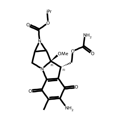 CO[C@]12C3C(CN1C1=C(C(=O)C(N)=C(C)C1=O)[C@H]2COC(N)=O)N3C(=O)OC(C)C